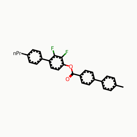 CCCc1ccc(-c2ccc(OC(=O)c3ccc(-c4ccc(C)cc4)cc3)c(F)c2F)cc1